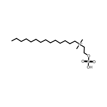 CCCCCCCCCCCCCC[N+](C)(C)CCOS(=O)(=O)O